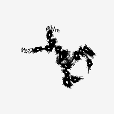 COc1ccc(-c2ccc3c(c2)c2cc(-c4ccc(OC)cc4)ccc2n3-c2ccc(-c3ccc(N(c4ccc(-c5ccc6c7ccccc7n(-c7ccc(F)cc7)c6c5)cc4)c4ccc(-c5ccc6c7ccccc7n(-c7ccc(F)cc7)c6c5)cc4)c4nsnc34)cc2)cc1